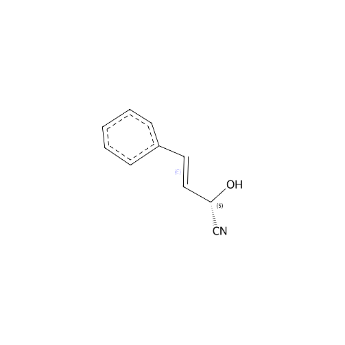 N#C[C@@H](O)/C=C/c1ccccc1